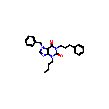 CCCCn1c(=O)n(CCCc2ccccc2)c(=O)c2c1ncn2Cc1ccccc1